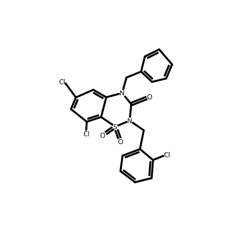 O=C1N(Cc2ccccc2)c2cc(Cl)cc(Cl)c2S(=O)(=O)N1Cc1ccccc1Cl